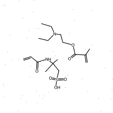 C=C(C)C(=O)OCCN(CC)CC.C=CC(=O)NC(C)(C)CS(=O)(=O)O